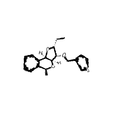 CC[C@H]1O[C@@H]2c3ccccc3C(C)O[C@@H]2[C@H]1OCc1ccsc1